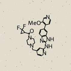 COc1cnccc1-c1ccc2nc(Nc3cc(CN4CCN(C(=O)C5CC5(F)F)CC4)ccn3)[nH]c2c1